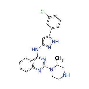 C[C@@H]1CNCCN1c1nc(Nc2cc(-c3cccc(Cl)c3)[nH]n2)c2ccccc2n1